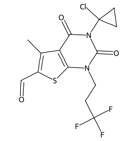 Cc1c(C=O)sc2c1c(=O)n(C1(Cl)CC1)c(=O)n2CCC(F)(F)F